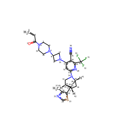 C=CC(=O)N1CCN(C2CN(c3cc(N4C[C@H]5CC[C@@H]4C[C@@H]5c4scnc4C)nc(C(F)(F)F)c3C#N)C2)CC1